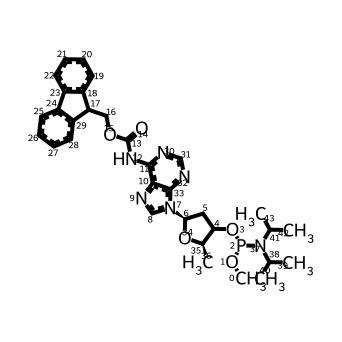 COP(OC1C[C@H](n2cnc3c(NC(=O)OCC4c5ccccc5-c5ccccc54)ncnc32)O[C@@H]1C)N(C(C)C)C(C)C